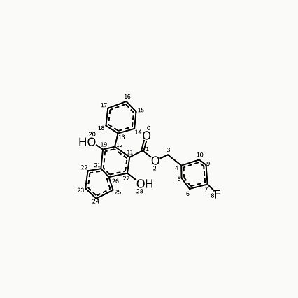 O=C(OCc1ccc(F)cc1)c1c(-c2ccccc2)c(O)c2ccccc2c1O